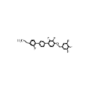 CCCc1ccc(-c2ccc(-c3ccc(OCc4cc(F)c(F)c(F)c4)c(F)c3F)cc2)c(F)c1